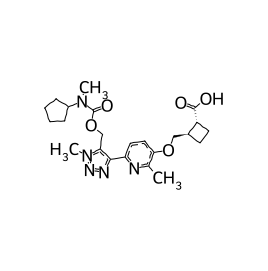 Cc1nc(-c2nnn(C)c2COC(=O)N(C)C2CCCC2)ccc1OC[C@@H]1CC[C@H]1C(=O)O